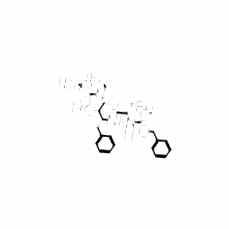 CC(C)CN(C[C@@H](O)[C@H](Cc1ccccc1)NC(=O)[C@@H](NC(=O)OCc1ccccc1)C(C)(C)C)C(=O)OC(C)(C)C